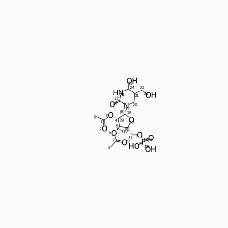 CC(=O)O[C@H]1[C@H](OC(C)=O)[C@@H](COP(=O)(O)O)O[C@H]1N1CC(CO)C(O)NC1=O